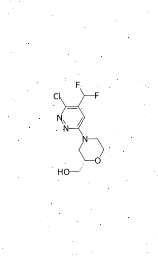 OC[C@@H]1CN(c2cc(C(F)F)c(Cl)nn2)CCO1